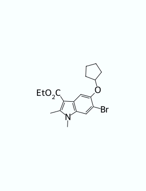 CCOC(=O)c1c(C)n(C)c2cc(Br)c(OC3CCCC3)cc12